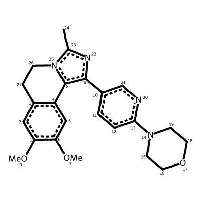 COc1cc2c(cc1OC)-c1c(-c3ccc(N4CCOCC4)nc3)nc(C)n1CC2